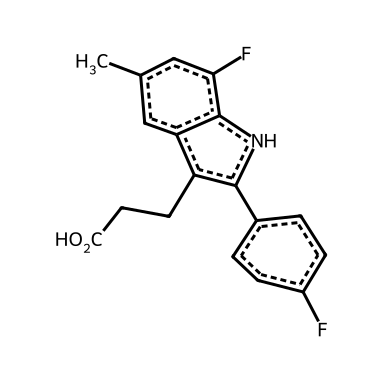 Cc1cc(F)c2[nH]c(-c3ccc(F)cc3)c(CCC(=O)O)c2c1